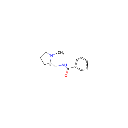 CN1CCC[C@H]1CNC(=O)c1ccccc1